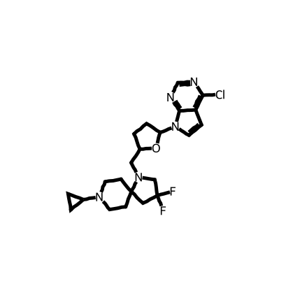 FC1(F)CN(CC2CCC(n3ccc4c(Cl)ncnc43)O2)C2(CCN(C3CC3)CC2)C1